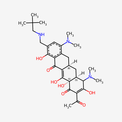 CC(=O)C1=C(O)C(N(C)C)[C@@H]2C[C@@H]3Cc4c(N(C)C)cc(CNCC(C)(C)C)c(O)c4C(=O)C3=C(O)[C@]2(O)C1=O